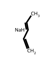 C=CC=CC.[NaH]